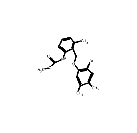 COC(=O)Nc1cccc(C)c1COc1cc(C)c(C)cc1Br